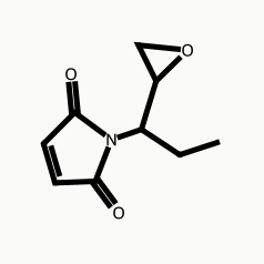 CCC(C1CO1)N1C(=O)C=CC1=O